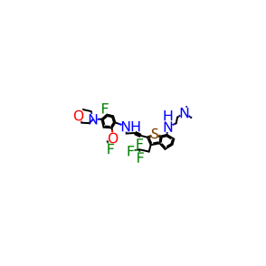 CN(C)CCNc1cccc2c(CC(F)(F)F)c(C#CCNc3cc(F)c(N4CCOCC4)cc3OCF)sc12